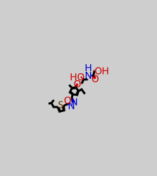 CCc1cc(-c2nnc(-c3ccc(CC(C)C)s3)o2)cc(C)c1OC[C@@H](O)CNC(=O)CO